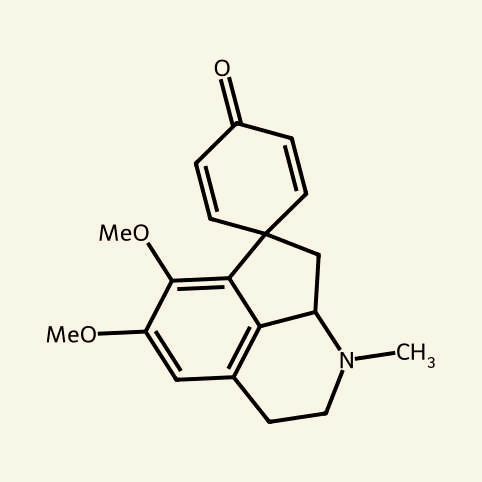 COc1cc2c3c(c1OC)C1(C=CC(=O)C=C1)CC3N(C)CC2